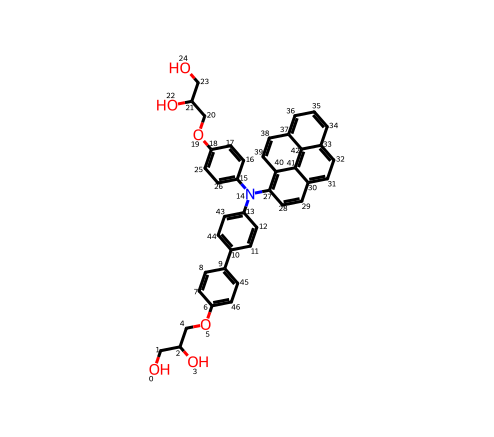 OCC(O)COc1ccc(-c2ccc(N(c3ccc(OCC(O)CO)cc3)c3ccc4ccc5cccc6ccc3c4c56)cc2)cc1